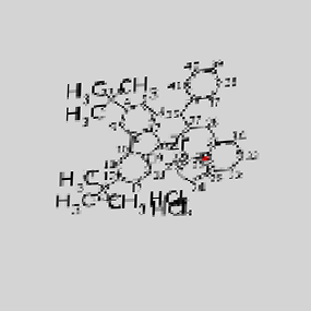 CC(C)(C)c1ccc2c(c1)-c1cc(C(C)(C)C)ccc1[CH]2[Zr]([C]1=CC=CC1)=[C](Cc1ccccc1)Cc1ccccc1.Cl.Cl